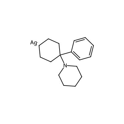 [Ag].c1ccc(C2(N3CCCCC3)CCCCC2)cc1